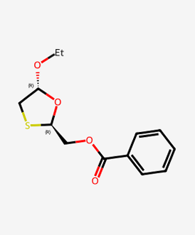 CCO[C@H]1CS[C@H](COC(=O)c2ccccc2)O1